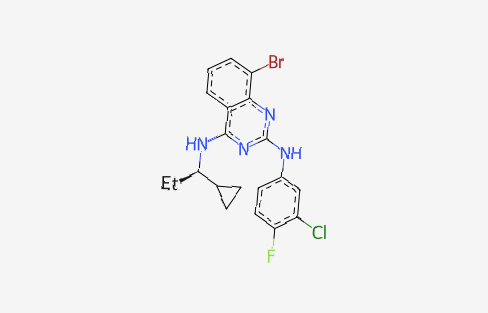 CC[C@@H](Nc1nc(Nc2ccc(F)c(Cl)c2)nc2c(Br)cccc12)C1CC1